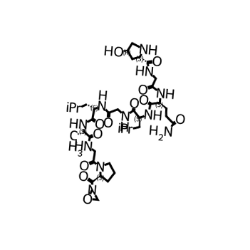 CC(C)C[C@H](NC(=O)CNC(=O)[C@H](CC(C)C)NC(=O)[C@H](CCC(N)=O)NC(=O)CNC(=O)[C@@H]1C[C@@H](O)CN1)C(=O)N[C@@H](C)C(=O)NCC(=O)N1CCC[C@H]1C(=O)N1CO1